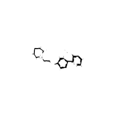 N#Cc1cccnc1-c1ccc(OCCN2CCCCC2)cc1